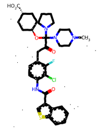 CN1CCN(C(O[C@H]2CC[C@H](C(=O)O)CC2)(C(=O)Cc2ccc(NC(=O)c3csc4ccccc34)c(Cl)c2F)N2CCCC2)CC1